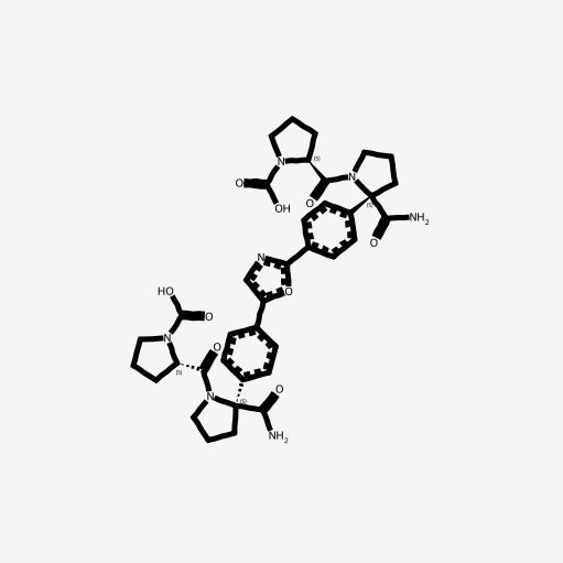 NC(=O)[C@@]1(c2ccc(-c3cnc(-c4ccc([C@]5(C(N)=O)CCCN5C(=O)[C@@H]5CCCN5C(=O)O)cc4)o3)cc2)CCCN1C(=O)[C@@H]1CCCN1C(=O)O